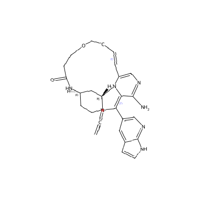 C=C=N/C(=C1/C(N)=NC=C2/C=C/CCOCCC(=O)N[C@@H]3CCC[C@H](C3)N21)c1cnc2[nH]ccc2c1